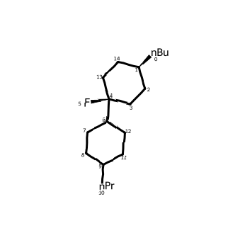 CCCC[C@H]1CC[C@](F)(C2CCC(CCC)CC2)CC1